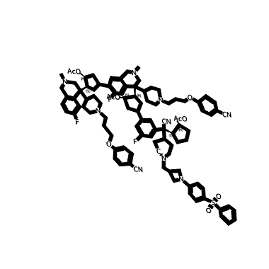 CC(=O)O[C@H]1CC(c2cc(F)cc(C(C#N)(C3CCN(CC4CN(c5ccc(S(=O)(=O)c6ccccc6)cc5)C4)CC3)[C@@H]3CCC[C@H]3OC(C)=O)c2)C[C@@H]1C1(C2CCN(CCCOc3ccc(C#N)cc3)CC2)CN(C)Cc2cc(C3C[C@@H](C4(C5CCN(CCCOc6ccc(C#N)cc6)CC5)CN(C)Cc5ccc(F)cc54)[C@H](OC(C)=O)C3)c(F)cc21